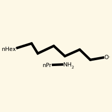 CCCCCCCCCCCC[O].CCCN